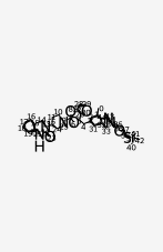 Cc1cc(CC(OC(=O)N2CCC(N3Cc4ccccc4NC3=O)CC2)c2ccco2)cc2cn(COCC[Si](C)(C)C)nc12